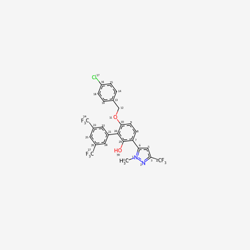 Cn1nc(C(F)(F)F)cc1-c1ccc(OCc2ccc(Cl)cc2)c(-c2cc(C(F)(F)F)cc(C(F)(F)F)c2)c1O